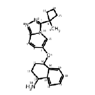 CC1(c2nnc3ccc(OC4CCC(N)c5ccccc54)cn23)CCC1